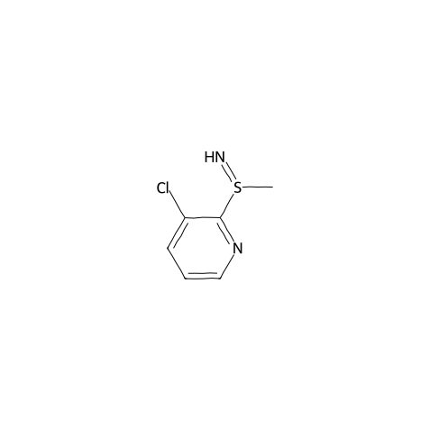 CS(=N)c1ncccc1Cl